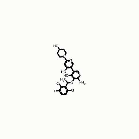 CC(Oc1c(N)ncc(-c2cnc(N3CCC(O)CC3)cc2O)c1O)c1c(Cl)ccc(F)c1Cl